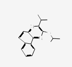 CC(C)Oc1nc2c(ccc3ccccc32)nc1C(C)C